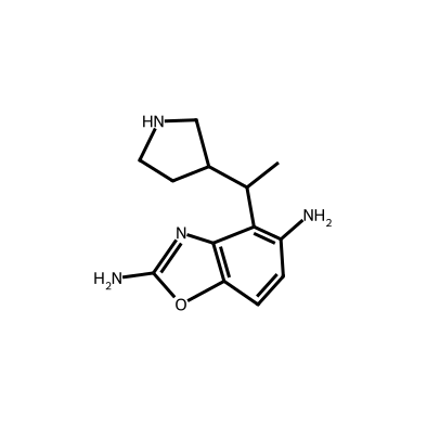 CC(c1c(N)ccc2oc(N)nc12)C1CCNC1